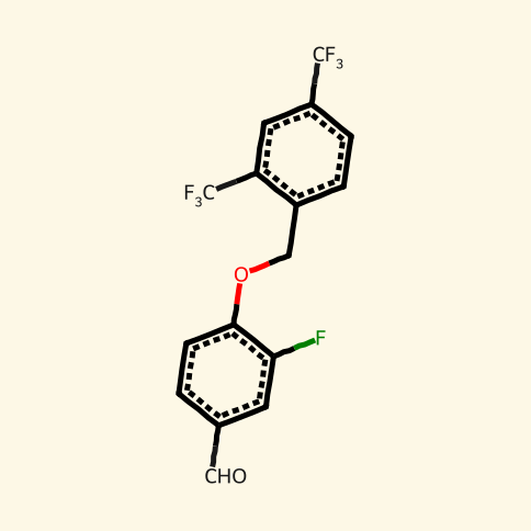 O=Cc1ccc(OCc2ccc(C(F)(F)F)cc2C(F)(F)F)c(F)c1